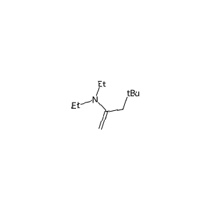 C=C(CC(C)(C)C)N(CC)CC